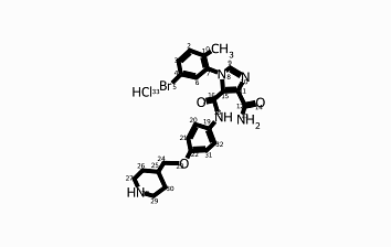 Cc1ccc(Br)cc1-n1cnc(C(N)=O)c1C(=O)Nc1ccc(OCC2CCNCC2)cc1.Cl